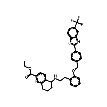 CCOC(=O)c1ccc2c(n1)CCCC2NCCc1ccccc1OCc1ccc(-c2nc3cc(C(F)(F)F)ccc3o2)cc1